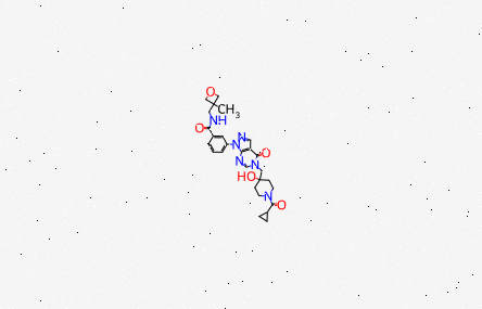 CC1(CNC(=O)c2cccc(-n3ncc4c(=O)n(CC5(O)CCN(C(=O)C6CC6)CC5)cnc43)c2)COC1